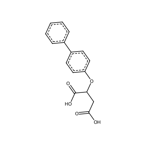 O=C(O)CC(Oc1ccc(-c2ccccc2)cc1)C(=O)O